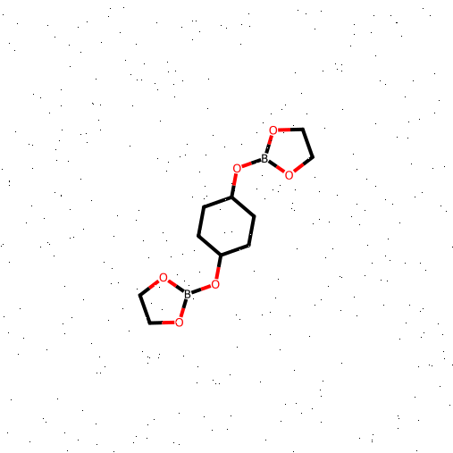 C1COB(OC2CCC(OB3OCCO3)CC2)O1